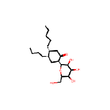 CCCCC[C@@H]1CC(=O)[C@@H](C2OC(CO)C(O)C(O)C2O)C[C@H]1CCCC